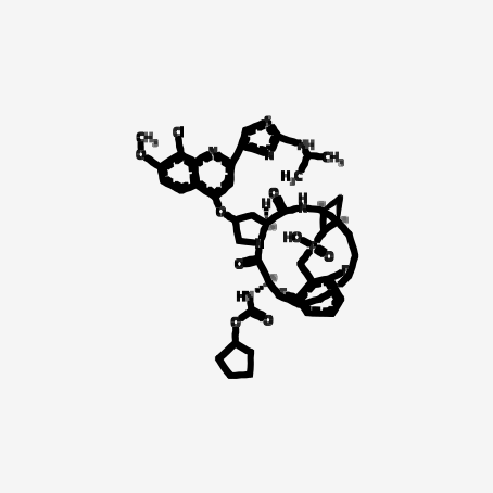 COc1ccc2c(OC3C[C@H]4C(=O)N[C@]56C[C@@]5(CCCCCCC[C@H](NC(=O)OC5CCCC5)C(=O)N4C3)C6P(=O)(O)Cc3c(F)cccc3F)cc(-c3csc(NC(C)C)n3)nc2c1Cl